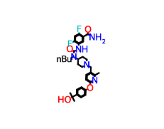 CCCCN(C(=O)Nc1cc(C(N)=O)c(F)cc1F)C1CCN(Cc2ccc(Oc3ccc(C(C)(C)O)cc3)nc2C)CC1